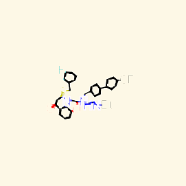 CCNCCN(Cc1ccc(-c2ccc(C(F)(F)F)cc2)cc1)C(=O)Cn1c(SCc2cccc(F)c2F)cc(=O)c2ccccc21